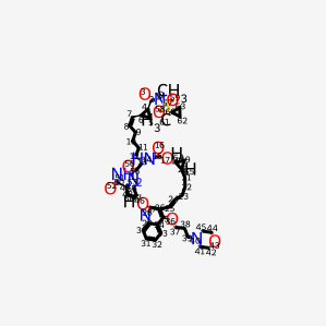 CN(C(=O)[C@H]1C[C@H]1/C=C\CCCC[C@@H]1NC(=O)O[C@@H]2C[C@H]2CCC/C=C/c2c(nc3ccccc3c2OCCCN2CCOCC2)O[C@@H]2C[C@@H](C(N)=O)N(C2)C1=O)S(=O)(=O)C1(C)CC1